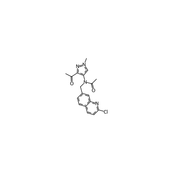 CC(=O)c1nn(C)cc1N(Cc1ccc2ccc(Cl)nc2c1)C(C)=O